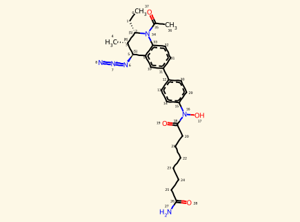 CC[C@H]1[C@@H](C)[C@H](N=[N+]=[N-])c2cc(-c3ccc(N(O)C(=O)CCCCCCC(N)=O)cc3)ccc2N1C(C)=O